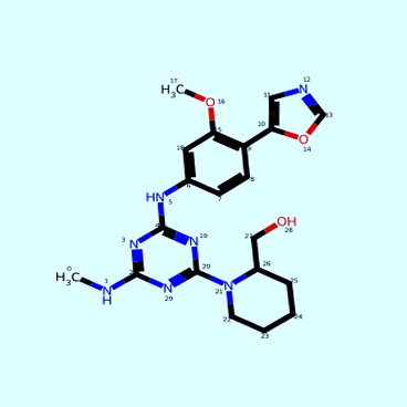 CNc1nc(Nc2ccc(-c3cnco3)c(OC)c2)nc(N2CCCCC2CO)n1